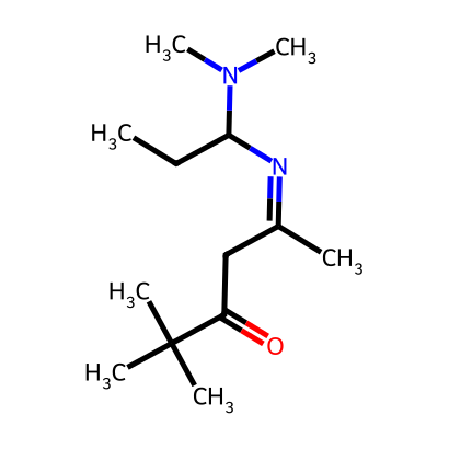 CCC(/N=C(/C)CC(=O)C(C)(C)C)N(C)C